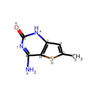 Cc1cc2[nH]c(=O)nc(N)c2s1